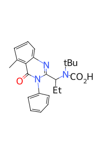 CCC(c1nc2cccc(C)c2c(=O)n1-c1ccccc1)N(C(=O)O)C(C)(C)C